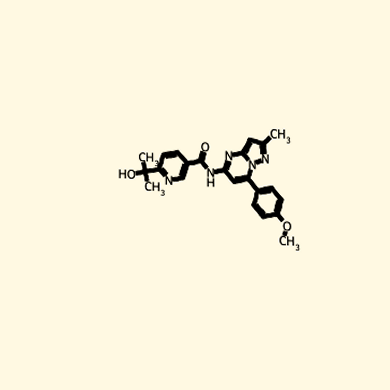 COc1ccc(-c2cc(NC(=O)c3ccc(C(C)(C)O)nc3)nc3cc(C)nn23)cc1